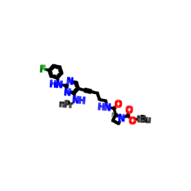 CCCNc1nc(Nc2cccc(F)c2)ncc1C#CCCCNC(=O)[C@@H]1CCN1C(=O)OC(C)(C)C